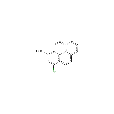 O=Cc1cc(Br)c2ccc3cccc4ccc1c2c34